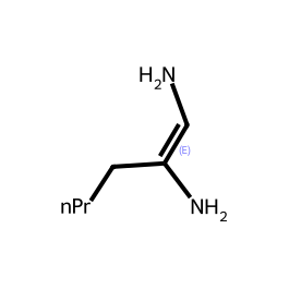 CCCC/C(N)=C\N